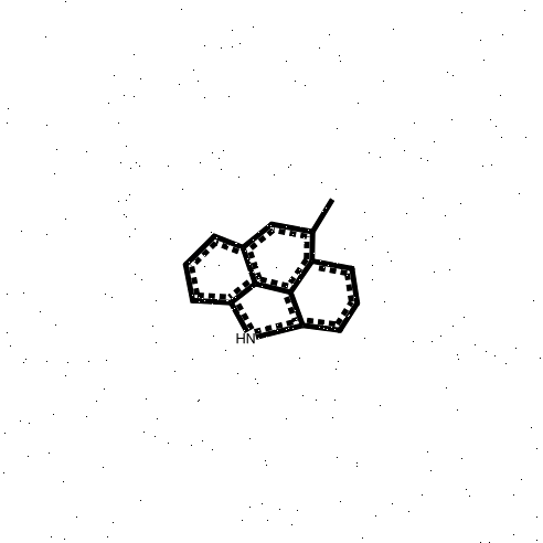 Cc1cc2cccc3[nH]c4cccc1c4c23